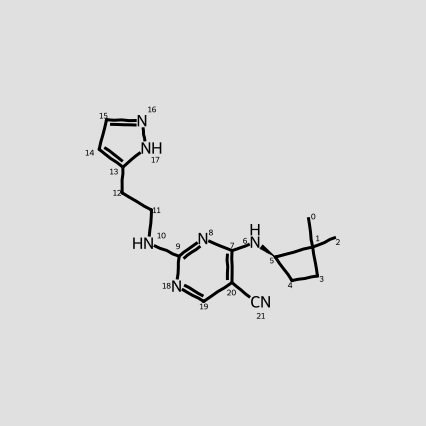 CC1(C)CC[C@H]1Nc1nc(NCCc2ccn[nH]2)ncc1C#N